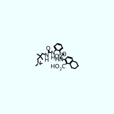 CN(C)CC(C)(C)CNC(=O)Nc1ccccc1S(=O)(=O)Nc1ccc2c(c1C(=O)O)CCCC2